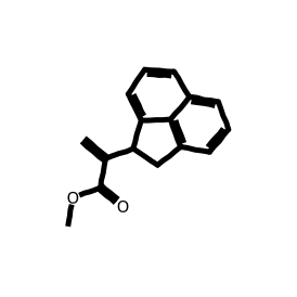 C=C(C(=O)OC)C1Cc2cccc3cccc1c23